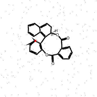 O=C1Oc2ccc3c(c2C2=c4ccccc4=CC[C@H]2OC(=O)c2ccccc21)=CCCC=3